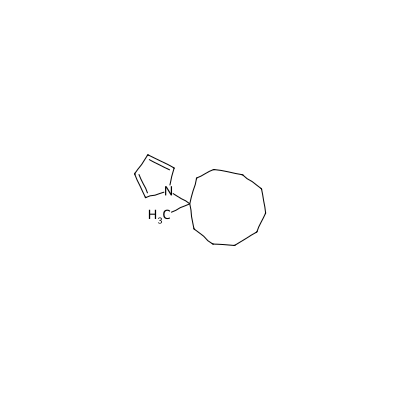 CC1(n2cccc2)CCCCCCCCC1